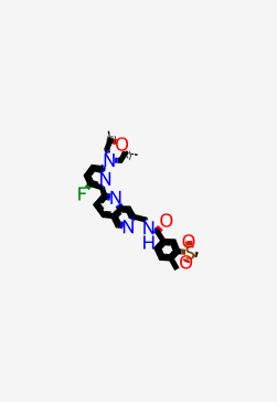 Cc1ccc(C(=O)NCc2cc3nc(-c4nc(N5C[C@@H](C)O[C@@H](C)C5)ccc4F)ccc3cn2)cc1S(C)(=O)=O